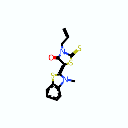 C=CCN1C(=O)/C(=C2\Sc3ccccc3N2C)SC1=S